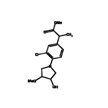 COC(=O)C(C)c1ccc(N2CC(O)C(OC)C2)c(Cl)c1